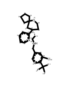 FC(F)(F)c1ncc(CNCC[C@@]2(c3ccccn3)CCOC3(CCCC3)C2)cc1Cl